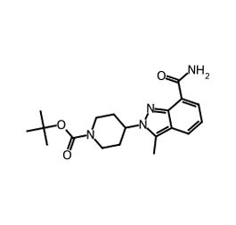 Cc1c2cccc(C(N)=O)c2nn1C1CCN(C(=O)OC(C)(C)C)CC1